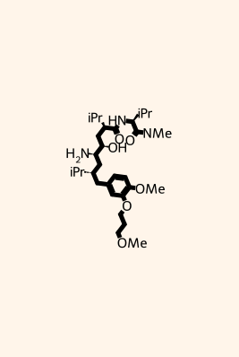 CNC(=O)[C@@H](NC(=O)[C@@H](C[C@H](O)[C@@H](N)C[C@H](Cc1ccc(OC)c(OCCCOC)c1)C(C)C)C(C)C)C(C)C